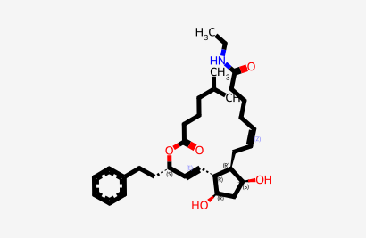 CCNC(=O)CCC/C=C\C[C@@H]1[C@@H](/C=C/[C@H](CCc2ccccc2)OC(=O)CCCC(C)C)[C@H](O)C[C@@H]1O